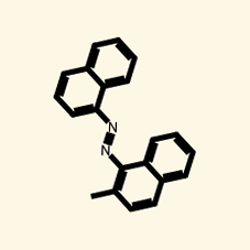 Cc1ccc2ccccc2c1N=Nc1cccc2ccccc12